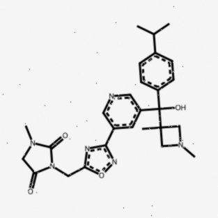 CC(C)c1ccc(C(O)(c2cncc(-c3noc(CN4C(=O)CN(C)C4=O)n3)c2)C2(C)CN(C)C2)cc1